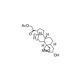 COC[C@]12CC[C@@H](O)C[C@@H]1CC[C@H]1[C@@H]3CC[C@H](C(=O)COC(C)=O)[C@@]3(C)CC[C@@H]12